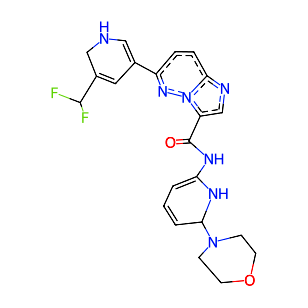 O=C(NC1=CC=CC(N2CCOCC2)N1)c1cnc2ccc(C3=CNCC(C(F)F)=C3)nn12